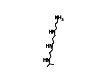 CC(C)NCCCNCCCNCCCN